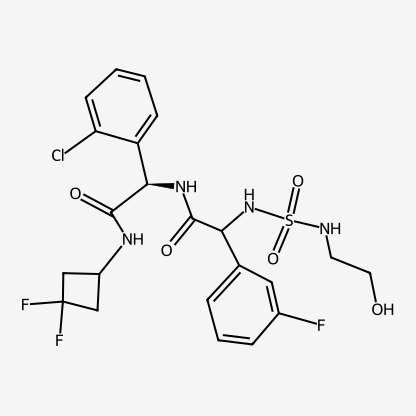 O=C(N[C@@H](C(=O)NC1CC(F)(F)C1)c1ccccc1Cl)C(NS(=O)(=O)NCCO)c1cccc(F)c1